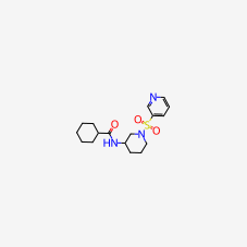 O=C(NC1CCCN(S(=O)(=O)c2cccnc2)C1)C1CCCCC1